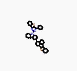 CC12C=CC=CC1N(c1nc(-c3ccccc3)c3sc4ccccc4c3n1)c1ccc(-c3ccc4c5c(cccc35)-c3c-4sc4ccccc34)cc12